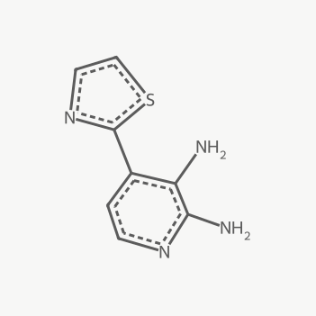 Nc1nccc(-c2nccs2)c1N